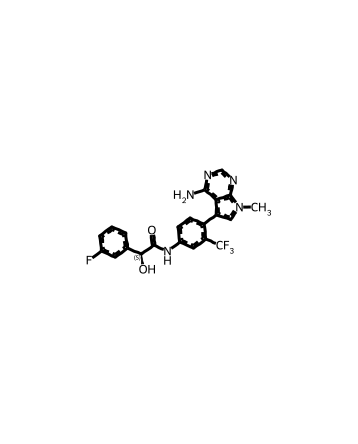 Cn1cc(-c2ccc(NC(=O)[C@@H](O)c3cccc(F)c3)cc2C(F)(F)F)c2c(N)ncnc21